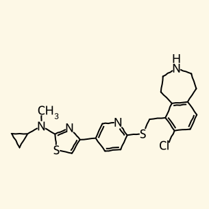 CN(c1nc(-c2ccc(SCc3c(Cl)ccc4c3CCNCC4)nc2)cs1)C1CC1